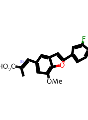 COc1cc(/C=C(\C)C(=O)O)cc2cc(-c3cccc(F)c3)oc12